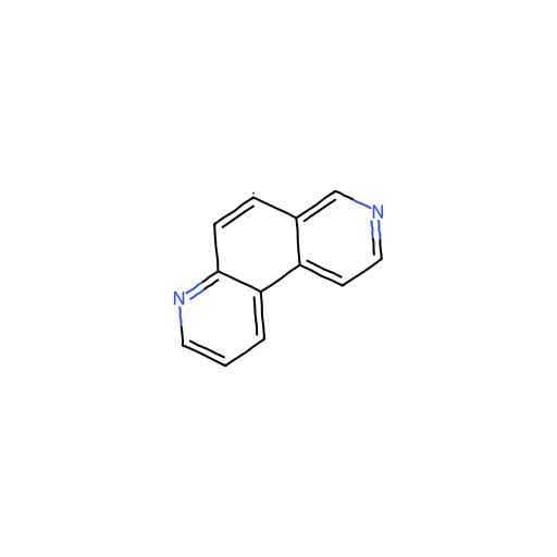 [c]1cc2ncccc2c2ccncc12